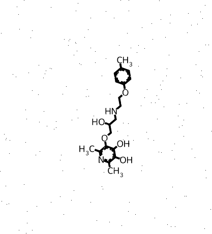 Cc1ccc(OCCNCC(O)COc2c(C)nc(C)c(O)c2O)cc1